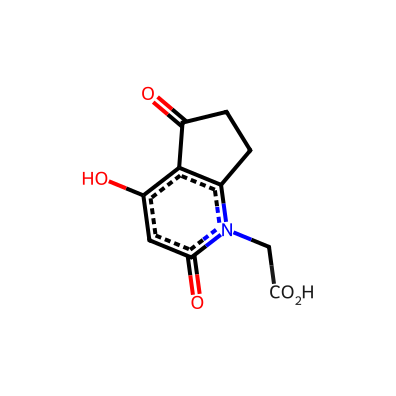 O=C(O)Cn1c2c(c(O)cc1=O)C(=O)CC2